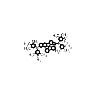 Cc1cc(N(c2cc(C)c(C)c(C)c2)c2ccc3cc4c(cc3c2)C2(c3ccccc3-c3ccccc32)c2c-4ccc3cc(N(c4cc(C)c(C)c(C)c4)c4cc(C)c(C)c(C)c4)ccc23)cc(C)c1C